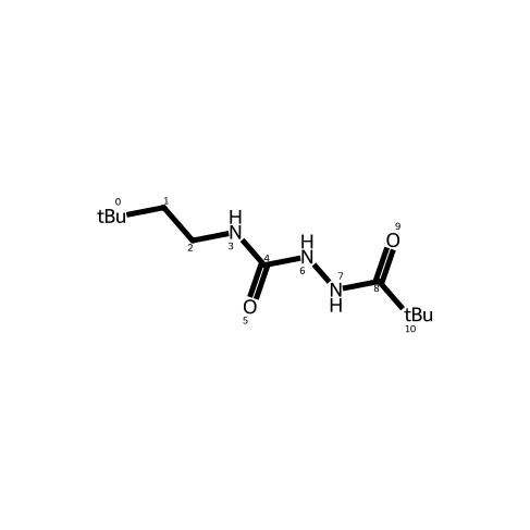 CC(C)(C)CCNC(=O)NNC(=O)C(C)(C)C